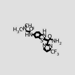 CN(C)CC(=O)Nc1ccc2c(c1)S/C(=C(/C(N)=O)c1nccc(C(F)(F)F)n1)N2